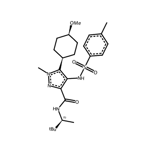 CO[C@H]1CC[C@@H](c2c(NS(=O)(=O)c3ccc(C)cc3)c(C(=O)N[C@@H](C)C(C)(C)C)nn2C)CC1